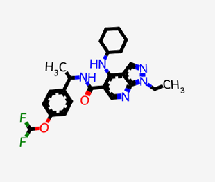 CCn1ncc2c(NC3CCCCC3)c(C(=O)NC(C)c3ccc(OC(F)F)cc3)cnc21